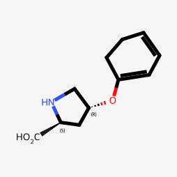 O=C(O)[C@@H]1C[C@@H](OC2=CC=CCC2)CN1